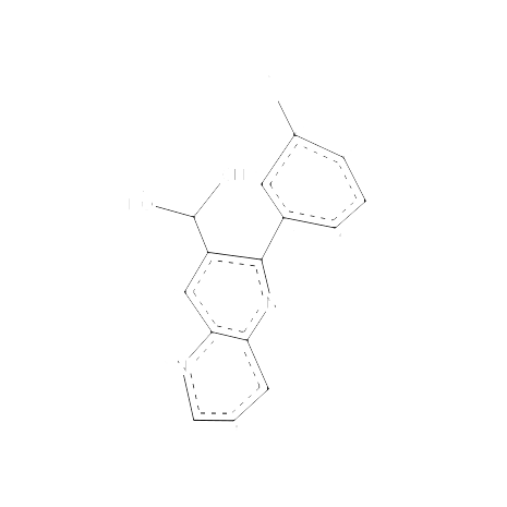 CC(O)c1cc2ncccc2nc1-c1cccc(F)c1